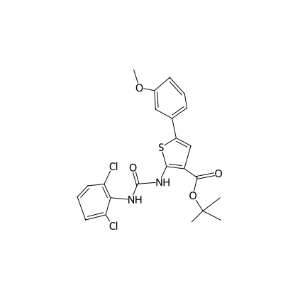 COc1cccc(-c2cc(C(=O)OC(C)(C)C)c(NC(=O)Nc3c(Cl)cccc3Cl)s2)c1